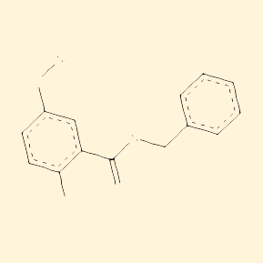 O=C(NCc1ccccc1)c1cc(S[N+](=O)[O-])ccc1O